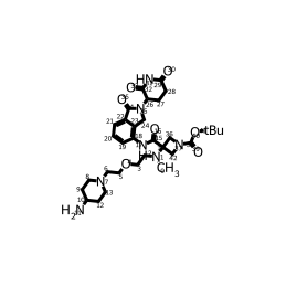 CN(CCOCCN1CCC(N)CC1)C1(C(=O)Nc2cccc3c2CN(C2CCC(=O)NC2=O)C3=O)CN(C(=O)OC(C)(C)C)C1